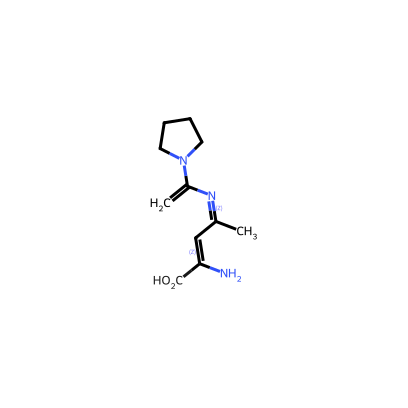 C=C(/N=C(C)\C=C(/N)C(=O)O)N1CCCC1